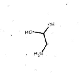 N[CH]C(O)O